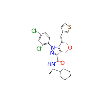 C[C@@H](NC(=O)c1nn(-c2ccc(Cl)cc2Cl)c2c1COC/C2=C\c1ccsc1)C1CCCCC1